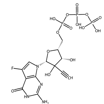 C#CC1(O)[C@@H](O)[C@@H](COP(=O)(O)OP(=O)(O)OP(=O)(O)O)O[C@H]1n1cc(F)c2c(=O)[nH]c(N)nc21